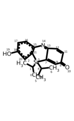 CC(C)[Si]1(C(C)C)C2=CC(=O)C=CC2=Nc2ccc(O)cc21